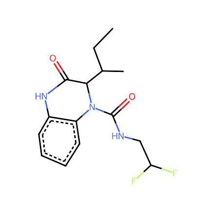 CCC(C)C1C(=O)Nc2ccccc2N1C(=O)NCC(F)F